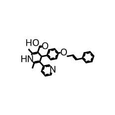 CC1=C(C(=O)O)C(c2ccc(OCC=Cc3ccccc3)cc2)C(c2cccnc2)=C(C)N1